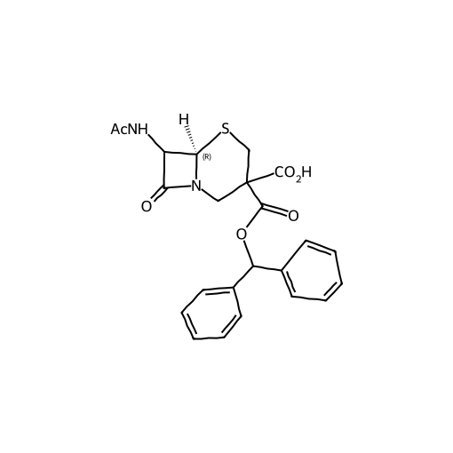 CC(=O)NC1C(=O)N2CC(C(=O)O)(C(=O)OC(c3ccccc3)c3ccccc3)CS[C@H]12